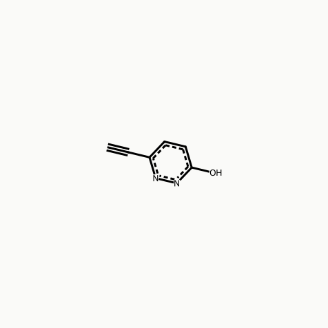 C#Cc1ccc(O)nn1